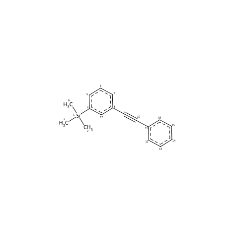 C[Si](C)(C)c1cccc(C#Cc2ccccc2)c1